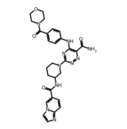 NC(=O)c1nnc(N2CCCC(NC(=O)c3ccc4nccn4c3)C2)nc1Nc1ccc(C(=O)N2CCOCC2)cc1